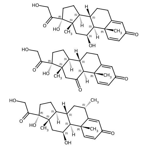 C[C@H]1C[C@@H]2[C@H]([C@@H](O)C[C@@]3(C)[C@H]2CC[C@]3(O)C(=O)CO)[C@@]2(C)C=CC(=O)C=C12.C[C@]12C=CC(=O)C=C1CC[C@@H]1[C@@H]2C(=O)C[C@@]2(C)[C@H]1CC[C@]2(O)C(=O)CO.C[C@]12C=CC(=O)C=C1CC[C@@H]1[C@@H]2[C@@H](O)C[C@@]2(C)[C@H]1CC[C@]2(O)C(=O)CO